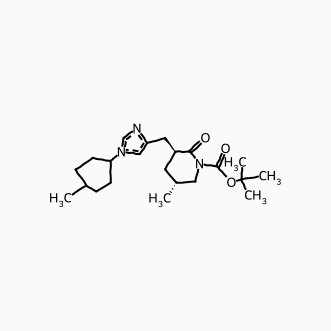 CC1CCC(n2cnc(C[C@@H]3C[C@@H](C)CN(C(=O)OC(C)(C)C)C3=O)c2)CC1